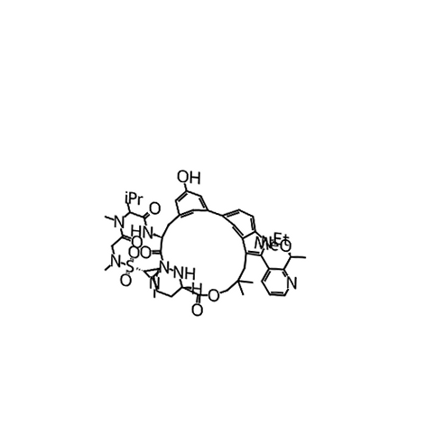 CCn1c(-c2cccnc2[C@H](C)OC)c2c3cc(ccc31)-c1cc(O)cc(c1)C[C@H](NC(=O)C(C(C)C)N(C)C(=O)CN(C)S(=O)(=O)[C@@H]1CN1C)C(=O)N1CCC[C@H](N1)C(=O)OCC(C)(C)C2